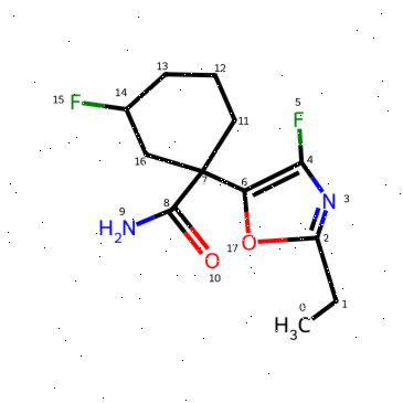 CCc1nc(F)c(C2(C(N)=O)CCCC(F)C2)o1